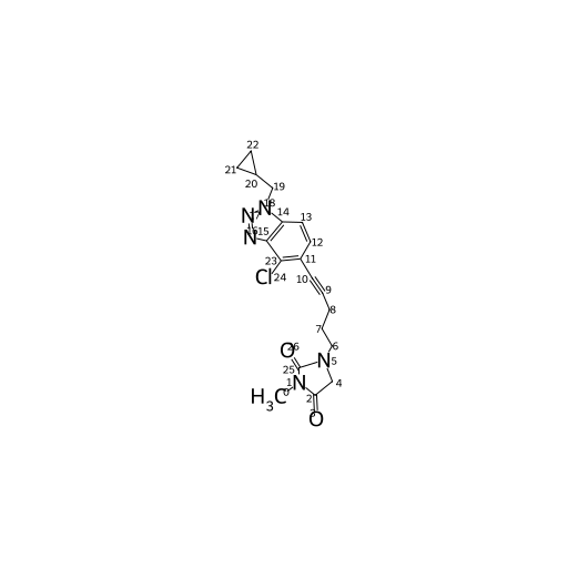 CN1C(=O)CN(CCCC#Cc2ccc3c(nnn3CC3CC3)c2Cl)C1=O